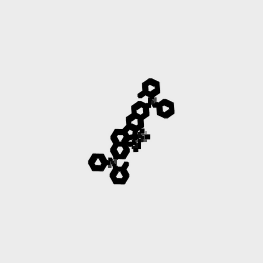 Cc1ccccc1N(c1ccccc1)c1ccc2cc3c(cc2c1)C([Si](C)(C)C)([Si](C)(C)C)c1c-3ccc2cc(N(c3ccccc3)c3ccccc3C)ccc12